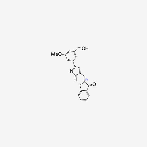 COc1cc(CO)cc(-c2cc(/C=C3\Cc4ccccc4C3=O)[nH]n2)c1